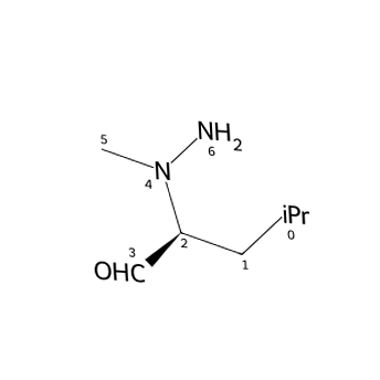 CC(C)C[C@@H](C=O)N(C)N